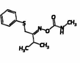 CNC(=O)ON=C(CSc1ccccc1)C(C)C